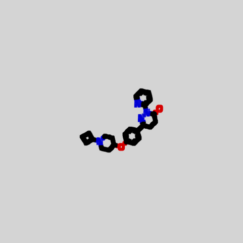 O=C1CCC(c2ccc(OC3CCN(C4CCC4)CC3)cc2)=NN1c1ccccn1